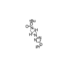 CC(C)Oc1cnc(N2C[C@@H]3CN(C(=O)OC(C)(C)C)C[C@H]3C2)nc1